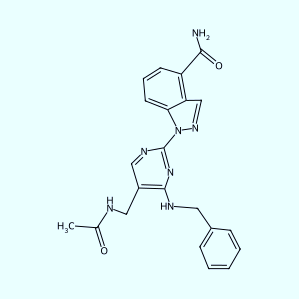 CC(=O)NCc1cnc(-n2ncc3c(C(N)=O)cccc32)nc1NCc1ccccc1